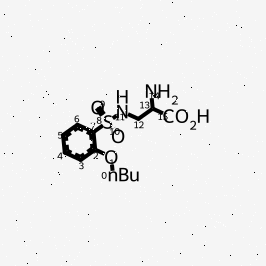 CCCCOc1ccccc1S(=O)(=O)NCC(N)C(=O)O